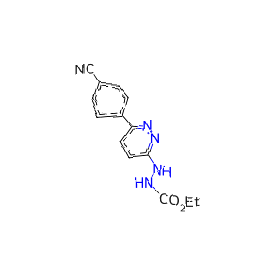 CCOC(=O)NNc1ccc(-c2ccc(C#N)cc2)nn1